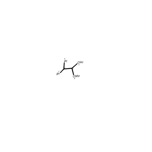 COC(OC(C)=O)C(C(C)C)C(C)C